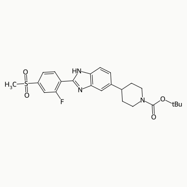 CC(C)(C)OC(=O)N1CCC(c2ccc3[nH]c(-c4ccc(S(C)(=O)=O)cc4F)nc3c2)CC1